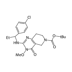 CCC(Nc1nc2c(c(=O)n1OC)CN(C(=O)OC(C)(C)C)CC2)c1ccc(Cl)cc1